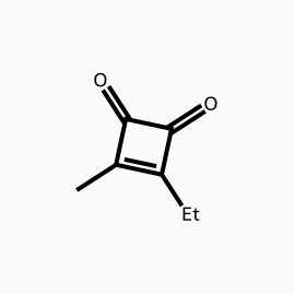 CCc1c(C)c(=O)c1=O